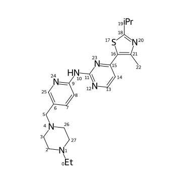 CCN1CCN(Cc2ccc(Nc3nccc(-c4sc(C(C)C)nc4C)n3)nc2)CC1